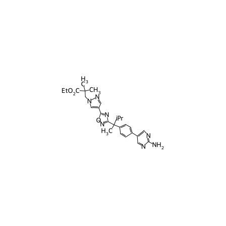 CCOC(=O)C(C)(C)Cn1cc(-c2nc(C(C)(c3ccc(-c4cnc(N)nc4)cc3)C(C)C)no2)cn1